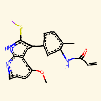 C=CC(=O)Nc1cc(-c2c(SI)[nH]c3nccc(OC)c23)ccc1C